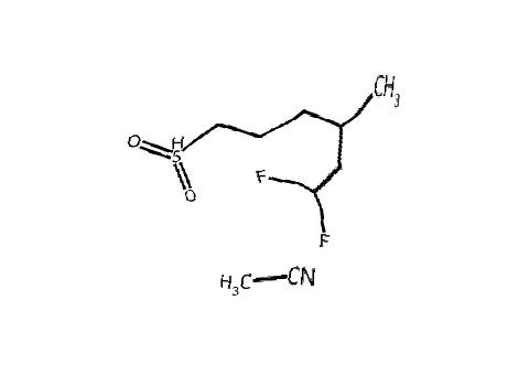 CC#N.CC(CCC[SH](=O)=O)CC(F)F